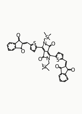 C[Si](C)(C)CN1C(=O)C2=C(c3ccc(C=C4C(=O)c5ccccc5C4=O)s3)N(C[Si](C)(C)C)C(=O)C2=C1c1ccc(C=C2C(=O)c3ccccc3C2=O)s1